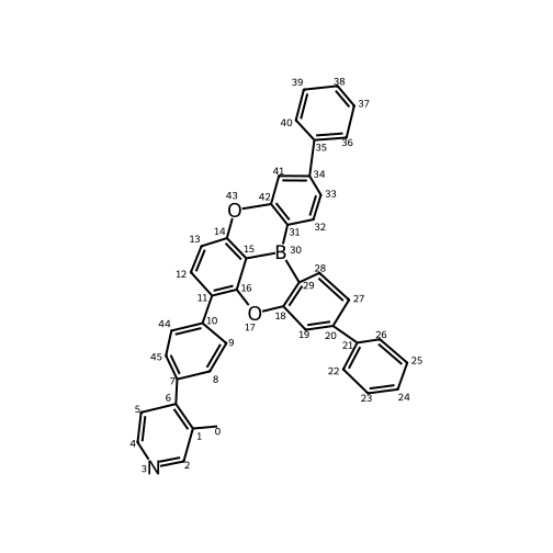 Cc1cnccc1-c1ccc(-c2ccc3c4c2Oc2cc(-c5ccccc5)ccc2B4c2ccc(-c4ccccc4)cc2O3)cc1